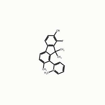 Cc1ccc2c(c1-c1cccc[n+]1C)C(C)(C)c1c-2ccc(C#N)c1F